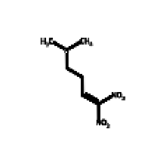 CN(C)CCC=C([N+](=O)[O-])[N+](=O)[O-]